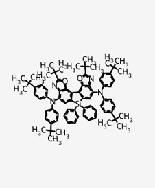 CC(C)(C)c1ccc(N(c2ccc(C(C)(C)C)cc2)c2cc3c(c4oc(C(C)(C)C)nc24)-c2c(cc(N(c4ccc(C(C)(C)C)cc4)c4ccc(C(C)(C)C)cc4)c4nc(C(C)(C)C)oc24)[Si]3(c2ccccc2)c2ccccc2)cc1